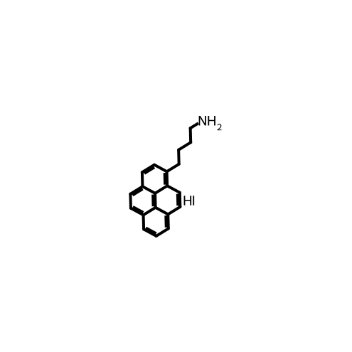 I.NCCCCc1ccc2ccc3cccc4ccc1c2c34